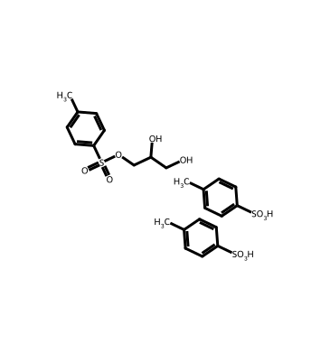 Cc1ccc(S(=O)(=O)O)cc1.Cc1ccc(S(=O)(=O)O)cc1.Cc1ccc(S(=O)(=O)OCC(O)CO)cc1